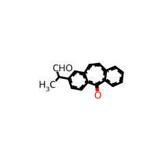 CC(C=O)c1ccc2c(=O)c3ccccc3ccc2c1